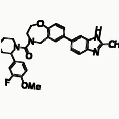 COc1ccc(C2CCCCN2C(=O)N2CCOc3ccc(-c4ccc5nc(C)[nH]c5c4)cc3C2)cc1F